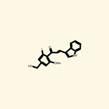 COc1cc(CO)cc(I)c1C(=O)/C=C/c1c[nH]c2ccccc12